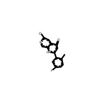 Cc1ccc(F)cc1-c1cc(=O)c2cc(Cl)ncc2[nH]1